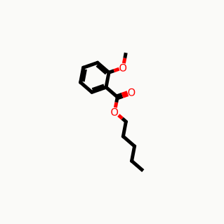 CCCCCOC(=O)c1ccccc1OC